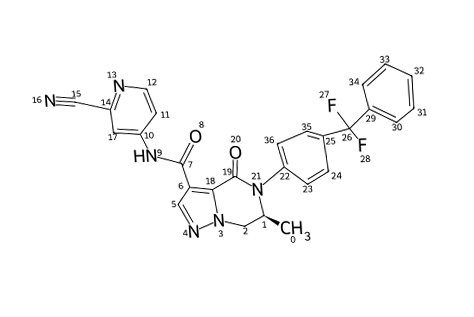 C[C@H]1Cn2ncc(C(=O)Nc3ccnc(C#N)c3)c2C(=O)N1c1ccc(C(F)(F)c2ccccc2)cc1